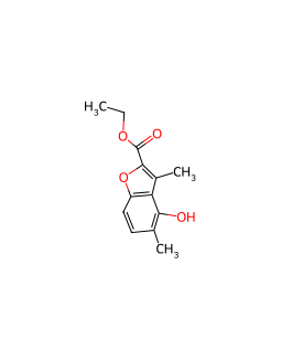 CCOC(=O)c1oc2ccc(C)c(O)c2c1C